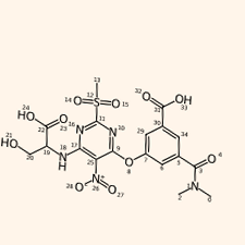 CN(C)C(=O)c1cc(Oc2nc(S(C)(=O)=O)nc(NC(CO)C(=O)O)c2[N+](=O)[O-])cc(C(=O)O)c1